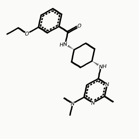 CCOc1cccc(C(=O)N[C@H]2CC[C@@H](Nc3cc(N(C)C)nc(C)n3)CC2)c1